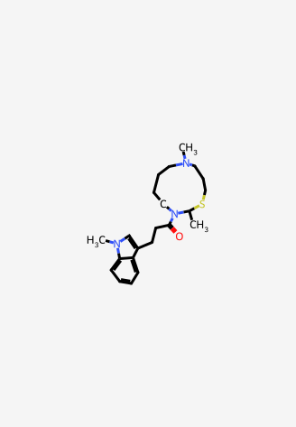 CC1SCCCN(C)CCCCN1C(=O)CCc1cn(C)c2ccccc12